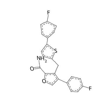 NC(=O)c1occ(-c2ccc(F)cc2)c1Cc1ccc(-c2ccc(F)cc2)s1